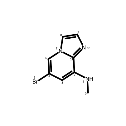 CNc1cc(Br)cn2ccnc12